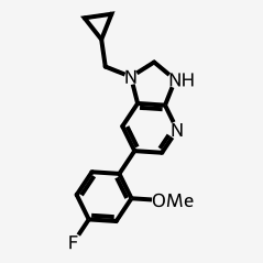 COc1cc(F)ccc1-c1cnc2c(c1)N(CC1CC1)CN2